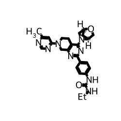 CCNC(=O)Nc1ccc(-c2nc3c(c(N4C[C@@H]5C[C@H]4CO5)n2)CCN(c2cc(C)ncn2)C3)cc1